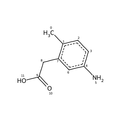 Cc1ccc(N)cc1CC(=O)O